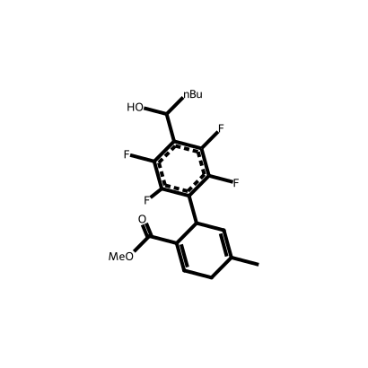 CCCCC(O)c1c(F)c(F)c(C2C=C(C)CC=C2C(=O)OC)c(F)c1F